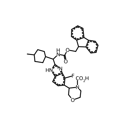 CC1CCC(C(NC(=O)OCC2c3ccccc3-c3ccccc32)c2nc3c(F)c(C4COCCN4C(=O)O)ccc3[nH]2)CC1